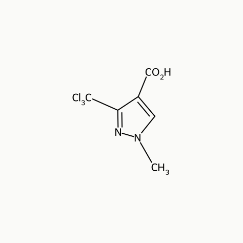 Cn1cc(C(=O)O)c(C(Cl)(Cl)Cl)n1